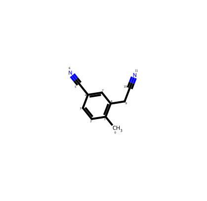 Cc1ccc(C#N)cc1CC#N